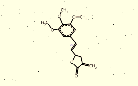 C=C1CC(/C=C/c2cc(OC)c(OC)c(OC)c2)OC1=O